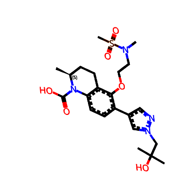 C[C@H]1CCc2c(ccc(-c3cnn(CC(C)(C)O)c3)c2OCCN(C)S(C)(=O)=O)N1C(=O)O